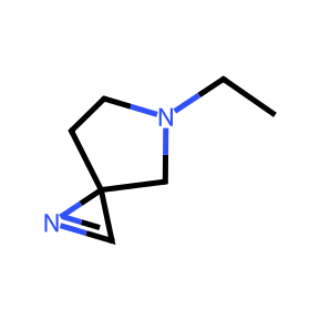 CCN1CCC2(C=N2)C1